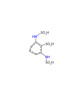 O=S(=O)(O)Nc1cccc(NS(=O)(=O)O)c1S(=O)(=O)O